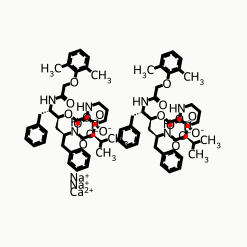 Cc1cccc(C)c1OCC(=O)N[C@@H](Cc1ccccc1)[C@H](C[C@H](Cc1ccccc1)NC(=O)[C@H](C(C)C)N1CCCNC1=O)OCOP(=O)([O-])[O-].Cc1cccc(C)c1OCC(=O)N[C@@H](Cc1ccccc1)[C@H](C[C@H](Cc1ccccc1)NC(=O)[C@H](C(C)C)N1CCCNC1=O)OCOP(=O)([O-])[O-].[Ca+2].[Na+].[Na+]